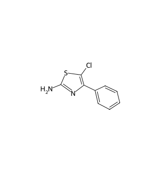 Nc1nc(-c2ccccc2)c(Cl)s1